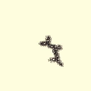 CC(C)(C)c1ccc(N(c2ccc(C(C)(C)C)cc2)c2ccc3cc4c(cc3c2)oc2c4cc(-c3ccccc3)c3oc4cc5cc(N(c6ccc(C(C)(C)C)cc6)c6ccc(C(C)(C)C)cc6)ccc5cc4c32)cc1